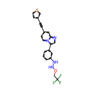 FC(F)(F)CONNc1cccc(-c2cnc3cc(C#Cc4ccsc4)ccn23)c1